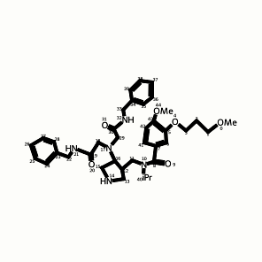 COCCCOc1cc(C(=O)N(CC2CNCC2N(CC(=O)NCc2ccccc2)CC(=O)NCc2ccccc2)C(C)C)ccc1OC